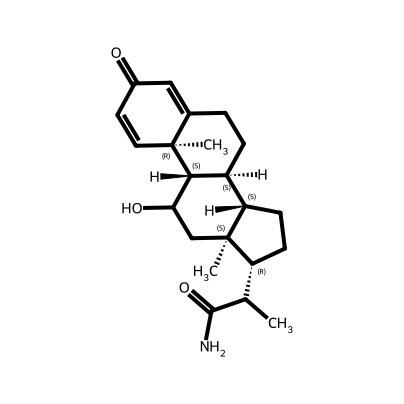 CC(C(N)=O)[C@H]1CC[C@H]2[C@@H]3CCC4=CC(=O)C=C[C@]4(C)[C@H]3C(O)C[C@]12C